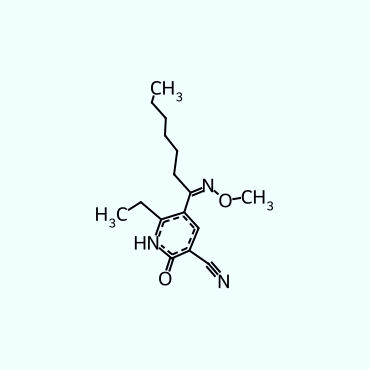 CCCCCC/C(=N/OC)c1cc(C#N)c(=O)[nH]c1CC